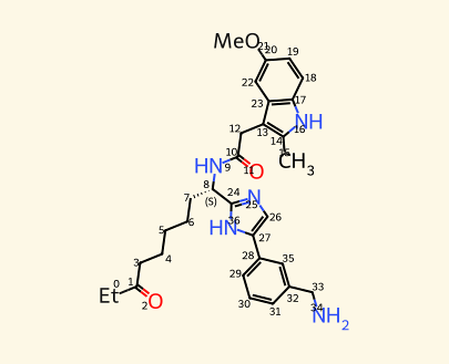 CCC(=O)CCCCC[C@H](NC(=O)Cc1c(C)[nH]c2ccc(OC)cc12)c1ncc(-c2cccc(CN)c2)[nH]1